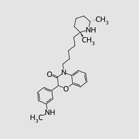 CNc1cccc(C2Oc3ccccc3N(CCCCC[C@]3(C)CCC[C@H](C)N3)C2=O)c1